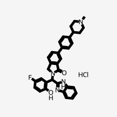 CN1CCC(c2ccc(-c3ccc4c(c3)C(=O)N(C(c3nc5ccccc5[nH]3)c3cc(F)ccc3O)C4)cc2)CC1.Cl